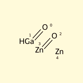 [O]=[GaH].[O]=[Zn].[Zn]